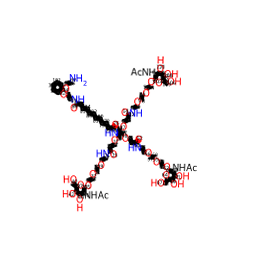 CC(=O)NC1C(OCCOCCOCCNC(=O)CCOCC(COCCC(=O)NCCOCCOCCOC2OC(CO)C(O)C(O)C2NC(C)=O)(COCCC(=O)NCCOCCOCCOC2OC(CO)C(O)C(O)C2NC(C)=O)NC(=O)CCCCCCCCCCC(=O)NCCOC2(OCCN)CCCCC2)OC(CO)C(O)C1O